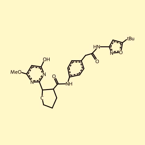 COc1cc(O)nc(C2CCCCC2C(=O)Nc2ccc(CC(=O)Nc3cc(C(C)(C)C)on3)cc2)n1